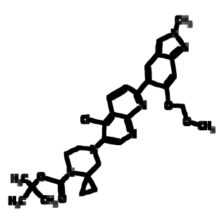 COCOc1cc2nn(C)cc2cc1-c1ccc2c(Cl)c(N3CCN(C(=O)OC(C)(C)C)C4(CC4)C3)cnc2n1